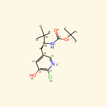 CC(C)(C)OC(=O)N[C@@H](Cc1cnc(Cl)c(O)c1)C(C)(C)C